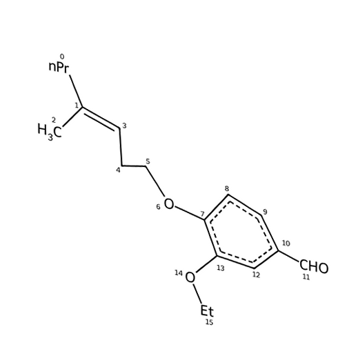 CCCC(C)=CCCOc1ccc(C=O)cc1OCC